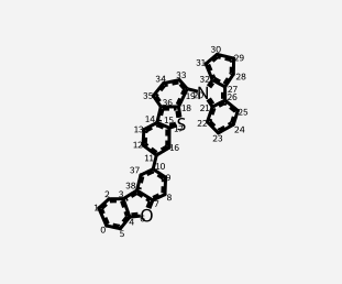 c1ccc2c(c1)oc1ccc(-c3ccc4c(c3)sc3c(-n5c6ccccc6c6ccccc65)cccc34)cc12